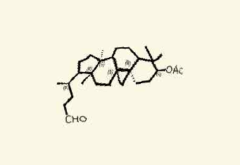 CC(=O)O[C@H]1CC[C@]23C[C@]24CC[C@]2(C)C([C@H](C)CCC=O)CC[C@@]2(C)C4CCC3C1(C)C